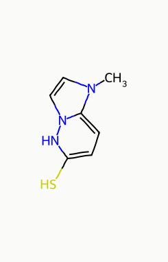 CN1C=CN2NC(S)=CC=C12